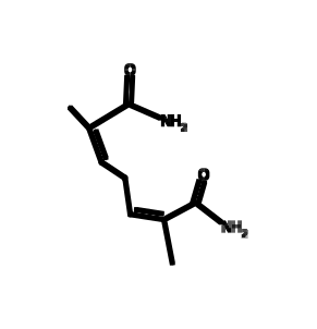 CC(=CCC=C(C)C(N)=O)C(N)=O